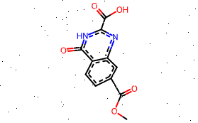 COC(=O)c1ccc2c(=O)[nH]c(C(=O)O)nc2c1